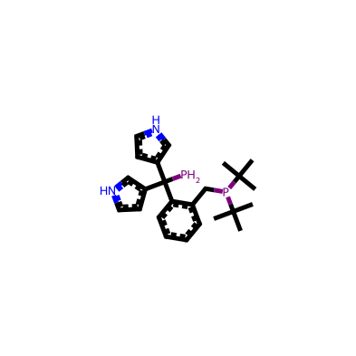 CC(C)(C)P(Cc1ccccc1C(P)(c1cc[nH]c1)c1cc[nH]c1)C(C)(C)C